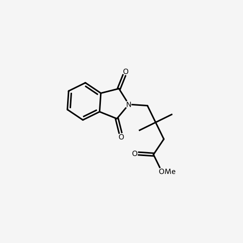 COC(=O)CC(C)(C)CN1C(=O)c2ccccc2C1=O